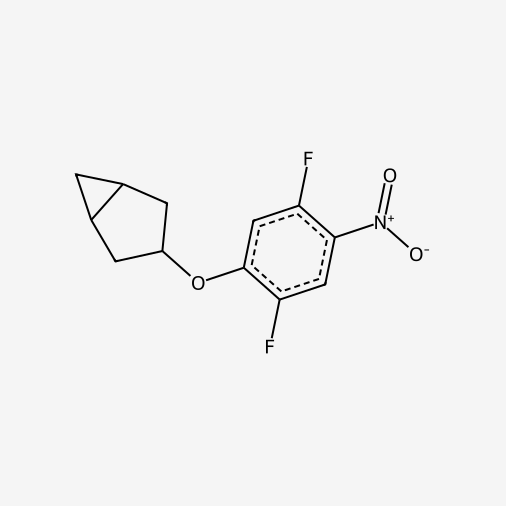 O=[N+]([O-])c1cc(F)c(OC2CC3CC3C2)cc1F